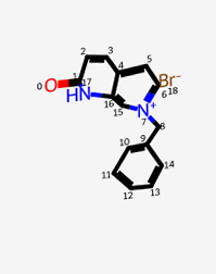 O=c1ccc2cc[n+](Cc3ccccc3)cc2[nH]1.[Br-]